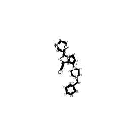 O=C=C1SC(c2cccnc2)n2ccc(N3CCN(Cc4ccccc4)CC3)c21